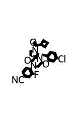 N#Cc1ccc(N2CC(=O)N(Cc3ccc(Cl)cc3)[C@@]3(CCN(C(=O)C4CCC4)C3)C2=O)c(F)c1